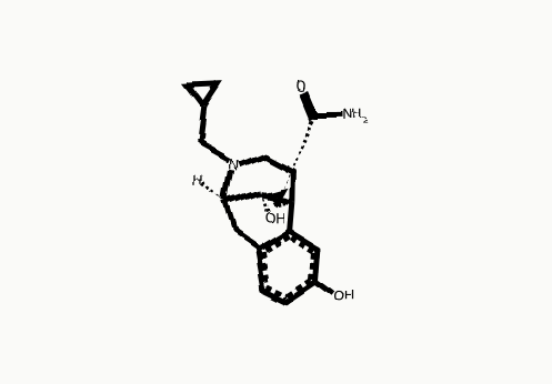 NC(=O)[C@@H]1C[C@]23CCN(CC4CC4)[C@H](Cc4ccc(O)cc42)[C@]3(O)C1